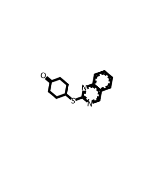 O=C1CCC(Sc2ncc3ccccc3n2)CC1